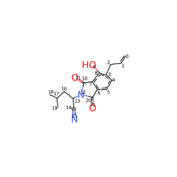 C=CCc1ccc2c(c1O)C(=O)N(C(C#N)CC(C)C)C2=O